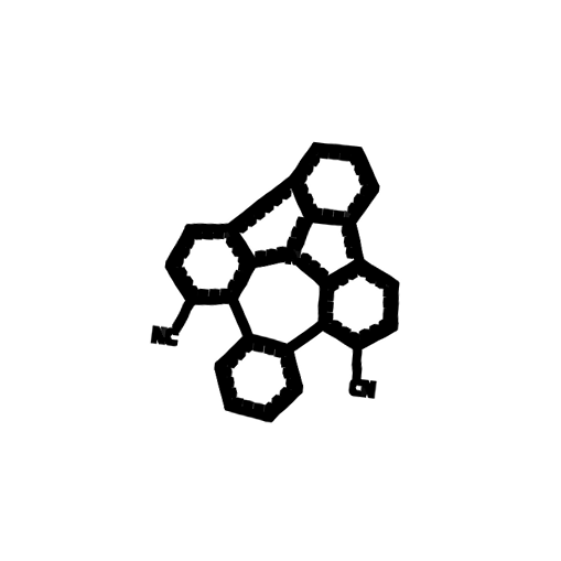 N#Cc1ccc2c3cccc4c5ccc(C#N)c6c5n(c2c1-c1ccccc1-6)c34